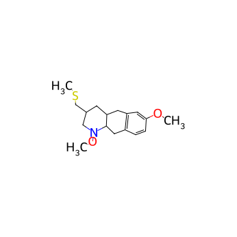 COc1ccc2c(c1)CC1CC(CSC)CN(OC)C1C2